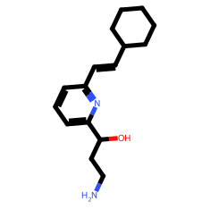 NCCC(O)c1cccc(C=CC2CCCCC2)n1